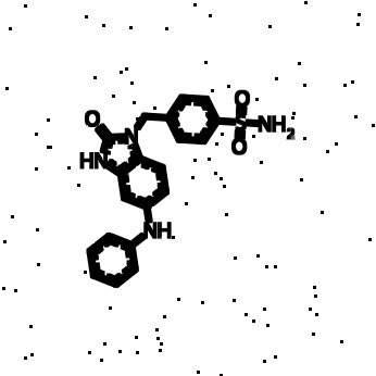 NS(=O)(=O)c1ccc(Cn2c(=O)[nH]c3cc(Nc4ccccc4)ccc32)cc1